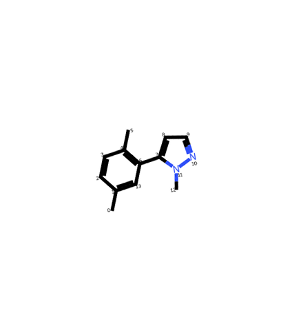 Cc1ccc(C)c(-c2ccnn2C)c1